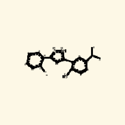 CC(C)c1ccc(O)c(-c2cc(-c3ccccc3F)n[nH]2)c1